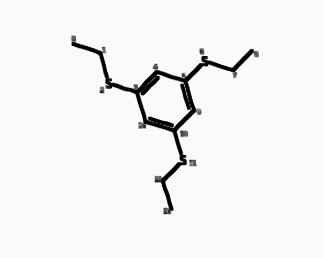 CCSc1cc(SCC)cc(SCC)c1